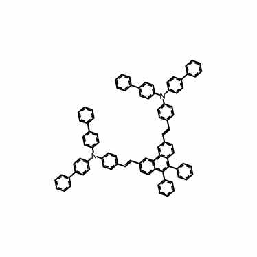 C(=C\c1ccc2c(-c3ccccc3)c(-c3ccccc3)c3ccc(/C=C/c4ccc(N(c5ccc(-c6ccccc6)cc5)c5ccc(-c6ccccc6)cc5)cc4)cc3c2c1)/c1ccc(N(c2ccc(-c3ccccc3)cc2)c2ccc(-c3ccccc3)cc2)cc1